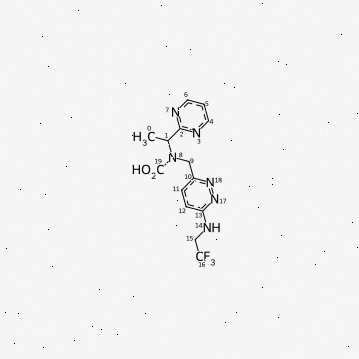 CC(c1ncccn1)N(Cc1ccc(NCC(F)(F)F)nn1)C(=O)O